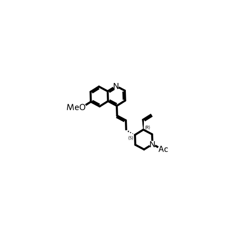 C=C[C@H]1CN(C(C)=O)CC[C@@H]1CC=Cc1ccnc2ccc(OC)cc12